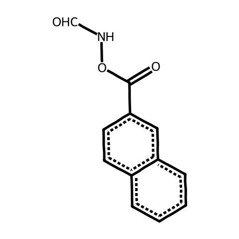 O=CNOC(=O)c1ccc2ccccc2c1